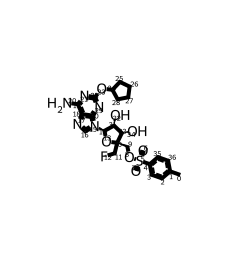 Cc1ccc(S(=O)(=O)OC[C@@]2(CF)O[C@@H](n3cnc4c(N)nc(OC5CCCC5)nc43)[C@H](O)[C@@H]2O)cc1